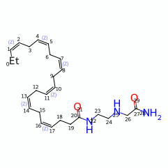 CC/C=C\C/C=C\C/C=C\C/C=C\C/C=C\C/C=C\CCC(=O)NCCNCC(N)=O